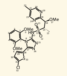 COc1cccc(OC)c1-n1c(NS(=O)(=O)[C@@H](C)[C@H](OC)c2ncc(C)cn2)nnc1-c1ccc(Cl)s1